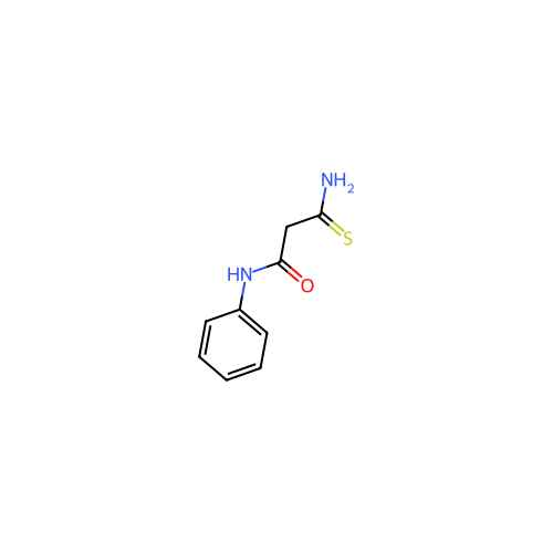 NC(=S)CC(=O)Nc1ccccc1